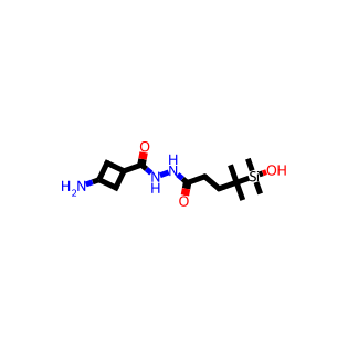 CC(C)(CCC(=O)NNC(=O)C1CC(N)C1)[Si](C)(C)O